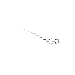 CCCCCCCCCCCCCCCC[N+](C)(C)C(CC)(CC)c1ccccc1C.[OH-]